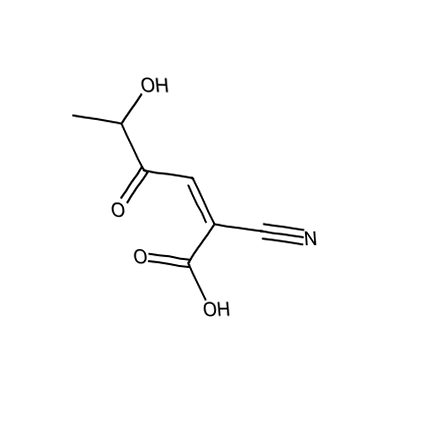 CC(O)C(=O)C=C(C#N)C(=O)O